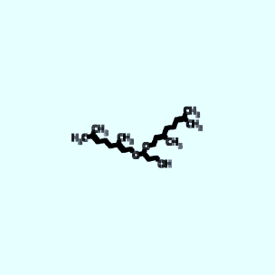 CC(C)=CCC/C(C)=C/COC(CCO)OC/C=C(\C)CCC=C(C)C